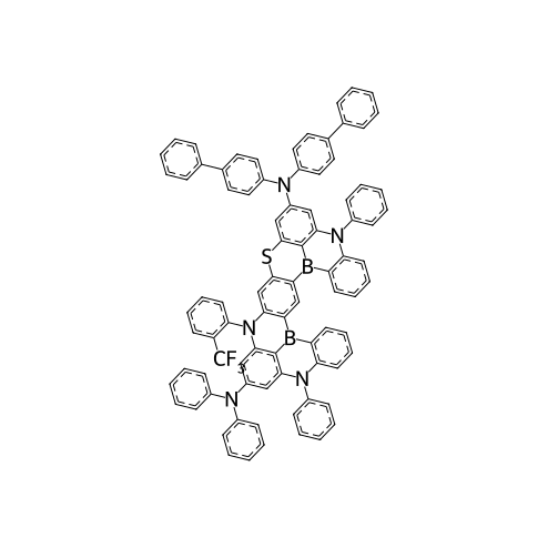 FC(F)(F)c1ccccc1N1c2cc3c(cc2B2c4ccccc4N(c4ccccc4)c4cc(N(c5ccccc5)c5ccccc5)cc1c42)B1c2ccccc2N(c2ccccc2)c2cc(N(c4ccc(-c5ccccc5)cc4)c4ccc(-c5ccccc5)cc4)cc(c21)S3